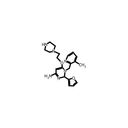 Cc1cccnc1CN1C(OCCN2CCNCC2)=CC(N)=NC1c1ccco1